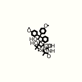 COc1ccc(C(c2ccccc2)(c2ccc(OC)cc2)C(O)[C@H]2O[C@@](CO)(n3cc(C)c(=O)[nH]c3=O)C([SiH](C)C)[C@@]2(O)C(C)(C)C)cc1